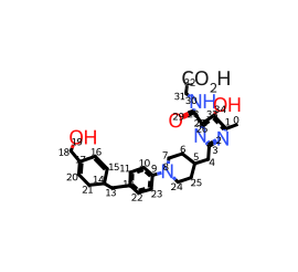 Cc1nc(CC2CCN(c3ccc(CC4C=CC(CO)=CC4)cc3)CC2)nc(C(=O)NCC(=O)O)c1O